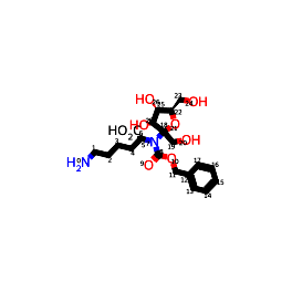 NCCCCC(C(=O)O)N(C(=O)OCc1ccccc1)C1(CO)O[C@H](CO)[C@@H](O)[C@@H]1O